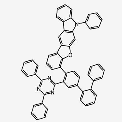 c1ccc(-c2nc(-c3ccccc3)nc(-c3cc(-c4ccccc4-c4ccccc4)ccc3-c3cccc4c3oc3cc5c(cc34)c3ccccc3n5-c3ccccc3)n2)cc1